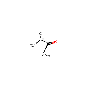 CC[C@H](C(=O)NC)C(C)(C)C